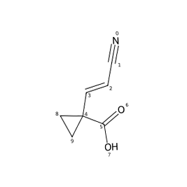 N#CC=CC1(C(=O)O)CC1